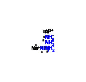 [Al+3].[NH2-].[NH2-].[NH2-].[NH2-].[Na+]